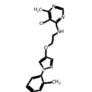 Cc1ccccc1-n1cc(OCCNc2ncnc(C)c2Cl)cn1